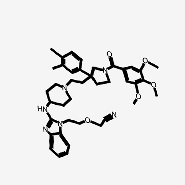 COc1cc(C(=O)N2CCC(CCN3CCC(Nc4nc5ccccc5n4CCOCC#N)CC3)(c3ccc(C)c(C)c3)C2)cc(OC)c1OC